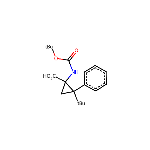 CC(C)(C)OC(=O)NC1(C(=O)O)CC1(c1ccccc1)C(C)(C)C